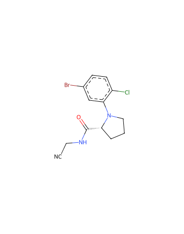 N#CCNC(=O)[C@H]1CCCN1c1cc(Br)ccc1Cl